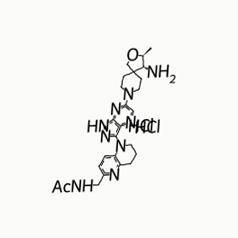 CC(=O)NCc1ccc2c(n1)CCCN2c1n[nH]c2nc(N3CCC4(CC3)CO[C@@H](C)[C@H]4N)cnc12.Cl.Cl